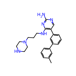 Cc1cccc(-c2cccc(-c3cnc(N)nc3NCCCN3CCNCC3)c2)c1